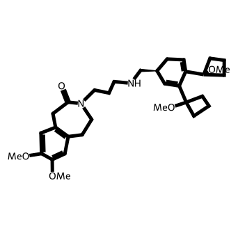 COc1cc2c(cc1OC)CC(=O)N(CCCNC[C@@H]1C=C(C3(OC)CCC3)C(C3(OC)CCC3)=CC1)CC2